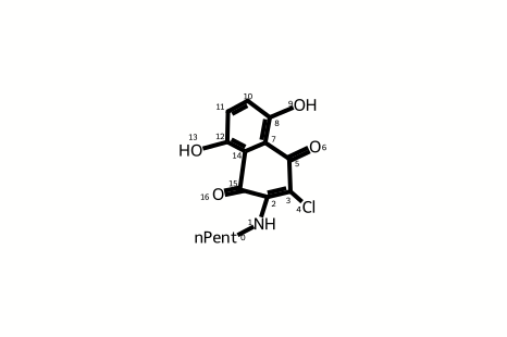 CCCCCNC1=C(Cl)C(=O)c2c(O)ccc(O)c2C1=O